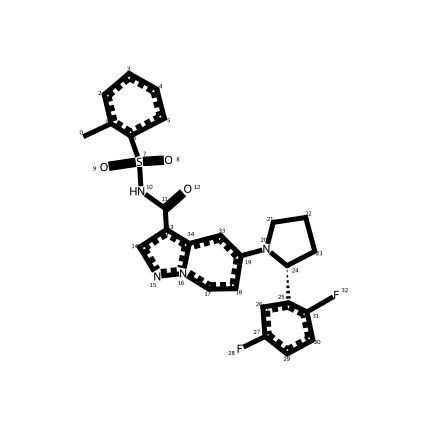 Cc1ccccc1S(=O)(=O)NC(=O)c1cnn2ccc(N3CCC[C@@H]3c3cc(F)ccc3F)cc12